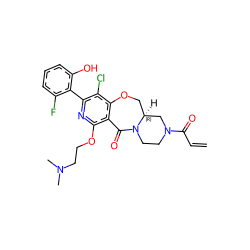 C=CC(=O)N1CCN2C(=O)c3c(OCCN(C)C)nc(-c4c(O)cccc4F)c(Cl)c3OC[C@H]2C1